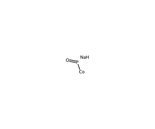 O=[P][Co].[NaH]